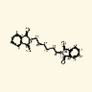 O=C1c2ccccc2C(=S)N1CCCCCCN1C(=O)c2ccccc2C1=S